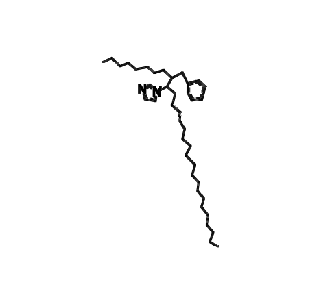 CCCCCCCCCCCCCCCCCCCC(C(CCCCCCCC)Cc1ccccc1)n1ccnc1